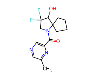 Cc1cncc(C(=O)N2CC(F)(F)C(O)C23CCCC3)n1